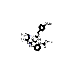 C=C(/C=C\C)/N=C(/Nc1cccc(NC(=O)OC(C)(C)C)c1)N(C)CNC(=C)OCc1ccc(OC)cc1